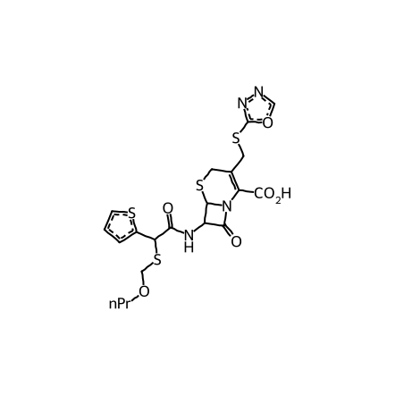 CCCOCSC(C(=O)NC1C(=O)N2C(C(=O)O)=C(CSc3nnco3)CSC12)c1cccs1